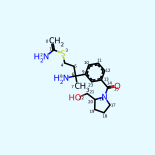 C=C(N)SCCC(C)(N)c1cccc(C(=O)N2CCCC2CO)c1